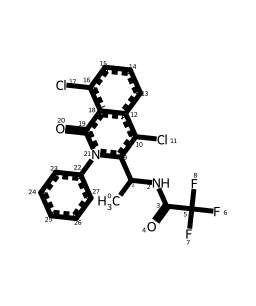 CC(NC(=O)C(F)(F)F)c1c(Cl)c2cccc(Cl)c2c(=O)n1-c1ccccc1